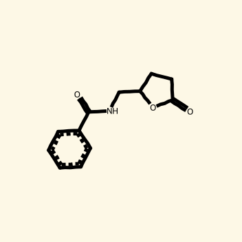 O=C1CCC(CNC(=O)c2ccccc2)O1